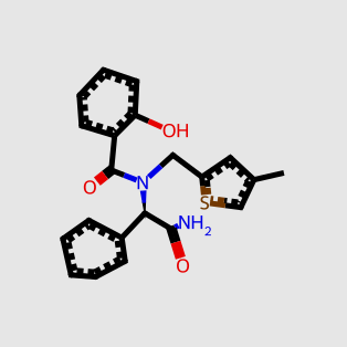 Cc1csc(CN(C(=O)c2ccccc2O)[C@@H](C(N)=O)c2ccccc2)c1